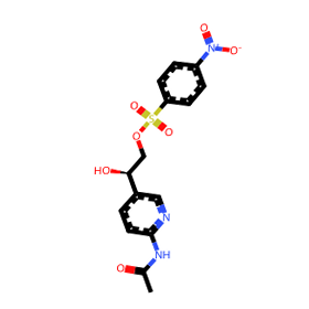 CC(=O)Nc1ccc([C@@H](O)COS(=O)(=O)c2ccc([N+](=O)[O-])cc2)cn1